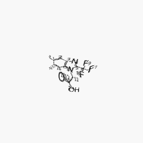 Cc1cc2nc(C(F)(F)F)n(CC(=O)O)c2cc1C